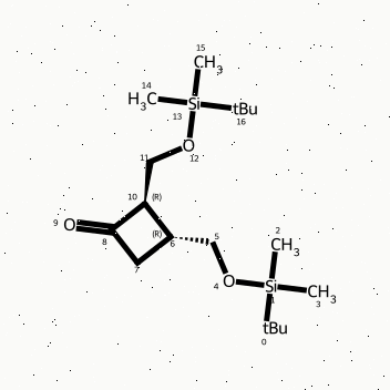 CC(C)(C)[Si](C)(C)OC[C@@H]1CC(=O)[C@H]1CO[Si](C)(C)C(C)(C)C